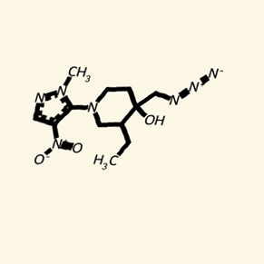 CCC1CN(c2c([N+](=O)[O-])cnn2C)CCC1(O)CN=[N+]=[N-]